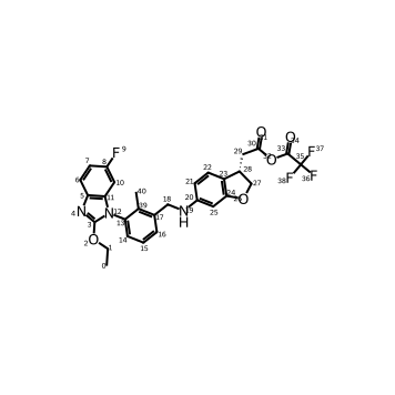 CCOc1nc2ccc(F)cc2n1-c1cccc(CNc2ccc3c(c2)OC[C@H]3CC(=O)OC(=O)C(F)(F)F)c1C